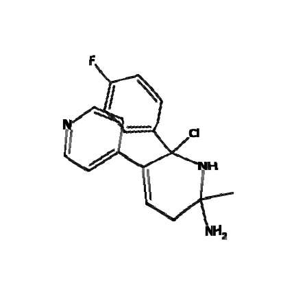 CC1(N)CC=C(c2ccncc2)C(Cl)(c2ccc(F)cc2)N1